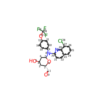 O=C[C@@H]1CC(O)CC(N(c2ccc(OC(F)(F)F)cc2)c2ccc3cccc(Cl)c3n2)O1